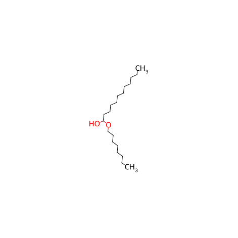 CCCCCCCCCCCC(O)OCCCCCCCC